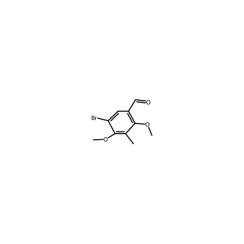 COc1c(Br)cc(C=O)c(OC)c1C